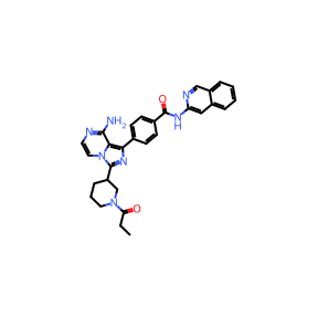 CCC(=O)N1CCCC(c2nc(-c3ccc(C(=O)Nc4cc5ccccc5cn4)cc3)c3c(N)nccn23)C1